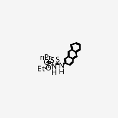 CCCSP(=O)(NC(=S)Nc1ccc2cc3ccccc3cc2c1)OCC